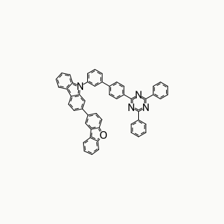 c1ccc(-c2nc(-c3ccccc3)nc(-c3ccc(-c4cccc(-n5c6ccccc6c6ccc(-c7ccc8oc9ccccc9c8c7)cc65)c4)cc3)n2)cc1